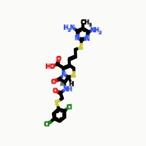 Cc1c(N)nc(SCC=CC2=C(C(=O)O)N3C(=O)[C@@H](NC(=O)CSc4cc(Cl)ccc4Cl)[C@H]3SC2)nc1N